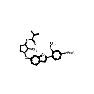 C=C(C)C(=O)OC1CCC(Oc2ccc3cc(-c4ccc(CCCCC)cc4OC(F)(F)F)oc3c2)C1C(F)(F)F